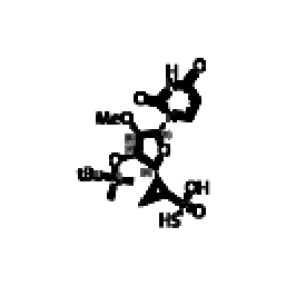 CO[C@@H]1[C@H](O[Si](C)(C)C(C)(C)C)[C@@H](C2CC2P(=O)(O)S)O[C@H]1n1ccc(=O)[nH]c1=O